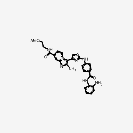 COCCNC(=O)c1ccn2c(-c3csc(Nc4ccc(C(=O)Nc5ccccc5N)cc4)n3)c(C)nc2c1